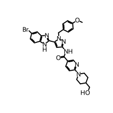 COc1ccc(Cn2nc(NC(=O)c3ccc(N4CCC(CO)CC4)nc3)cc2-c2nc3cc(Br)ccc3[nH]2)cc1